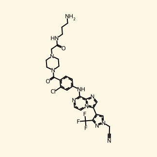 N#CCn1cc(-c2cnc3c(Nc4ccc(C(=O)N5CCN(CC(=O)NCCCN)CC5)c(Cl)c4)nccn23)c(C(F)(F)F)n1